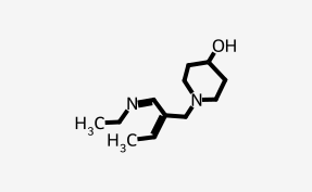 C/C=C(\C=N/CC)CN1CCC(O)CC1